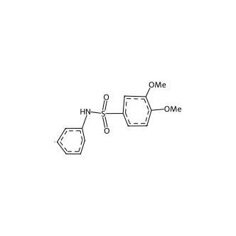 COc1ccc(S(=O)(=O)Nc2c[c]ccc2)cc1OC